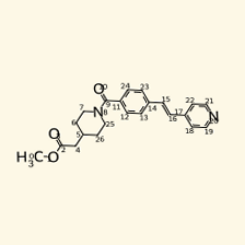 COC(=O)CC1CCN(C(=O)c2ccc(C=Cc3ccncc3)cc2)CC1